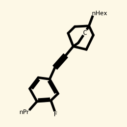 CCCCCCC12CCC(C#Cc3ccc(CCC)c(F)c3)(CC1)CC2